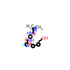 Cc1cc(C(=O)N[C@H]2CC[C@H](NC(=O)c3cc(F)cnc3Oc3cccc(-c4cccc(CCCO)c4)c3)CC2)nn1C